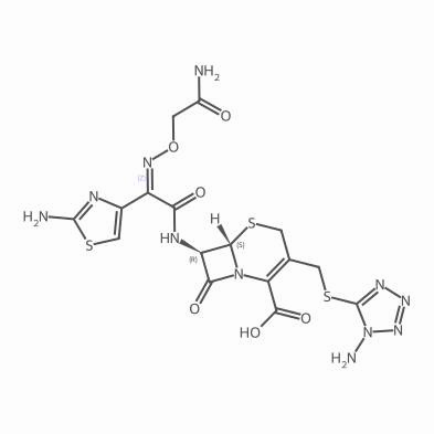 NC(=O)CO/N=C(\C(=O)N[C@@H]1C(=O)N2C(C(=O)O)=C(CSc3nnnn3N)CS[C@@H]12)c1csc(N)n1